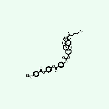 CCOc1ccc(C(=O)Oc2ccc(OC(=O)c3ccc(OC(=O)OC4CC[C@]5(C)C(C=C[C@H]6[C@H]7CC[C@@H]([C@@H](C)CCCC(C)C)[C@]7(C)CC[C@H]65)C4)cc3)cc2)cc1